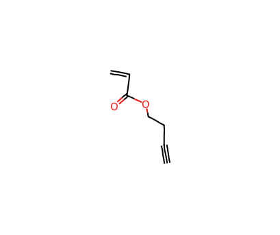 C#CCCOC(=O)C=C